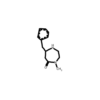 CN1CCNC(Cc2ccccc2)CC1=O